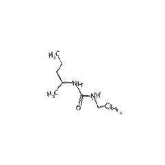 CCCC(C)NC(=O)NCC